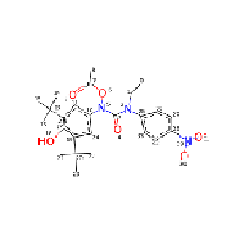 CCN(C(=O)N(OC(C)=O)c1cc(C(C)(C)C)c(O)c(C(C)(C)C)c1)c1ccc([N+](=O)[O-])cc1